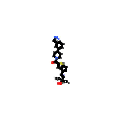 C[Si](C)(O)/C=C/C1=CCc2sc(C(=O)N3CCC(c4cccc(CN)c4)CC3)cc21